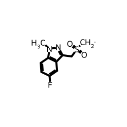 [CH2]S(=O)(=O)Cc1nn(C)c2ccc(F)cc12